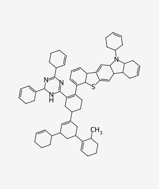 CC1CCCC=C1C1CC(C2CCC(C3=CC=CC4C5=CC6C(C=C5SC34)C3CC=CCC3N6C3CC=CCC3)=C(C3=NC(C4C=CCCC4)=NC(C4=CC=CCC4)N3)C2)=CC(C2C=CCCC2)C1